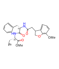 COC(=O)[C@H](CC(C)C)NC(=O)[C@H](Cc1ccccc1)NC(=O)CC1COc2c(OC)cccc21